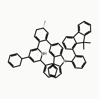 C[C@@H]1C=C(c2ccc3c(c2)c2ccccc2n3-c2ccccc2-c2cccc3c2C(C)(C)c2ccccc2-3)C(C2=CC(C3C=CC=CC3)=CC(C3=CCCC=C3)N2)=CC1